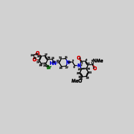 CNC(=O)c1cc(=O)n(CCN2CCC(NCc3cc4c(cc3Br)OCO4)CC2)c2cc(OC)ccc12